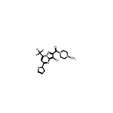 CN1CCN(C(=O)c2nn3c(C(F)(F)F)cc(C4CC=CS4)nc3c2Cl)CC1